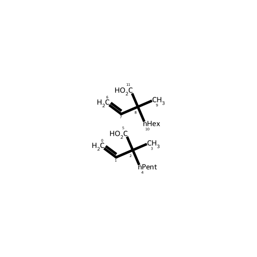 C=CC(C)(CCCCC)C(=O)O.C=CC(C)(CCCCCC)C(=O)O